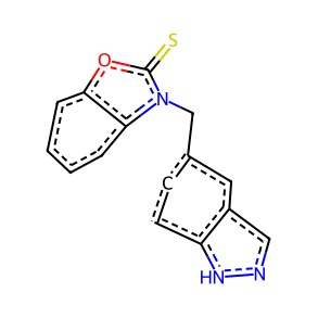 S=c1oc2ccccc2n1Cc1ccc2[nH]ncc2c1